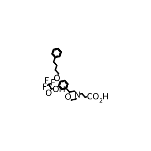 O=C(O)C(F)(F)F.O=C(O)CCN1CCOC(c2ccc(OCCCCc3ccccc3)cc2)C1